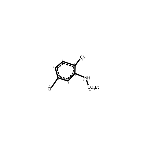 CCOC(=O)Nc1cc(Cl)ccc1C#N